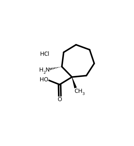 C[C@]1(C(=O)O)CCCCC[C@H]1N.Cl